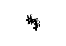 Cc1c(F)c(F)c(CC(C)(C)C(=O)OC(=O)C2CC2)c(F)c1F